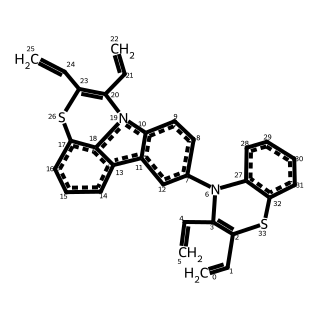 C=CC1=C(C=C)N(c2ccc3c(c2)c2cccc4c2n3C(C=C)=C(C=C)S4)c2ccccc2S1